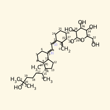 C=C1/C(=C\C=C2/CCC[C@@]3(C)C2CC[C@@H]3C(C)CCCC(C)(C)O)CCC[C@@H]1OC1OC(CO)C(O)C(O)C1O